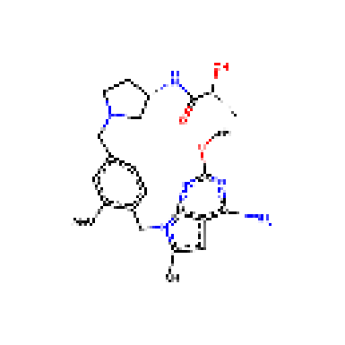 CCCCOc1nc(N)c2cc(C#N)n(Cc3ccc(CN4CC[C@H](NC(=O)[C@@H](C)O)C4)cc3OC)c2n1